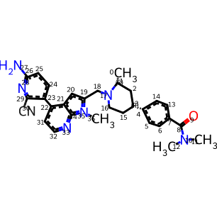 C[C@@H]1C[C@H](c2ccc(C(=O)N(C)C)cc2)CCN1Cc1cc2c(-c3ccc(N)nc3C#N)ccnc2n1C